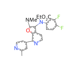 CCOC(=O)N(c1ccc(F)c(F)c1)c1c(NC)oc2c(-c3ccnc(C)c3)nccc12